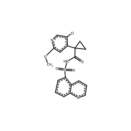 COc1cc(C2(C(=O)NS(=O)(=O)c3cccc4ncccc34)CC2)c(Cl)cn1